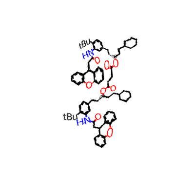 CC(C)(C)c1ccc(CC[C@H](CCC2CCCCC2)OC(=O)CCC(=O)O[C@H](CCc2ccc(C(C)(C)C)c(NC(=O)CC3c4ccccc4Oc4ccccc43)c2)CCC2CCCCC2)cc1NC(=O)CC1c2ccccc2Oc2ccccc21